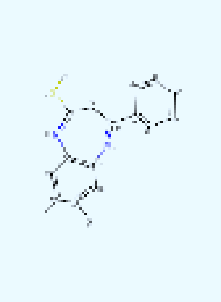 CSC1=Nc2cc(C)c(C)cc2N=C(c2ccccc2)C1